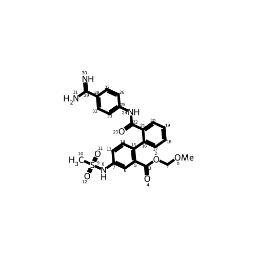 COCOC(=O)c1cc(NS(C)(=O)=O)ccc1-c1ccccc1C(=O)Nc1ccc(C(=N)N)cc1